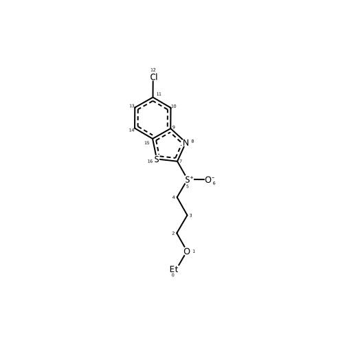 CCOCCC[S+]([O-])c1nc2cc(Cl)ccc2s1